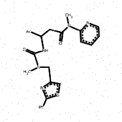 CC(=O)C(CC(=O)N(C)c1ccccn1)NC(=O)N(C)Cc1csc(C(C)C)n1